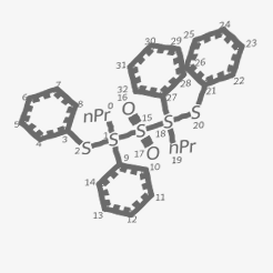 CCCS(Sc1ccccc1)(c1ccccc1)S(=O)(=O)S(CCC)(Sc1ccccc1)c1ccccc1